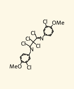 COc1ccc(N=C(Cl)C(Cl)(Cl)C(Cl)=Nc2ccc(OC)c(Cl)c2)cc1Cl